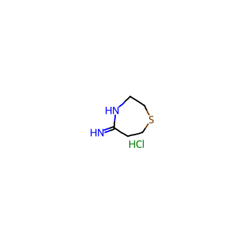 Cl.N=C1CCSCCN1